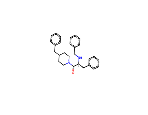 O=C([C@H](Cc1ccccc1)NCc1ccccc1)N1CCC(Cc2ccccc2)CC1